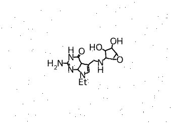 CCN1C=C(CNC2C(O)C(O)C3OC23)C2C(=O)NC(N)=NC21